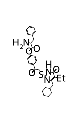 CCc1c(CC2CCCCC2)nc(SCC(=O)c2ccc(OC(=O)C(N)Cc3ccccc3)cc2)[nH]c1=O